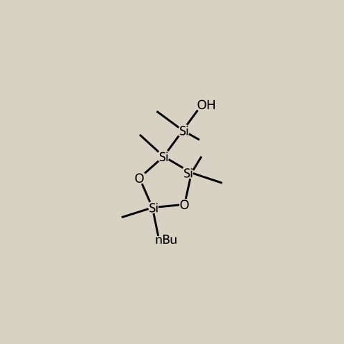 CCCC[Si]1(C)O[Si](C)(C)[Si](C)([Si](C)(C)O)O1